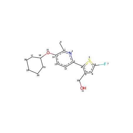 Cc1nc(-c2sc(F)cc2CO)ccc1OC1CCCCC1